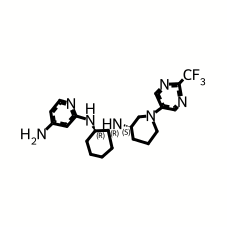 Nc1ccnc(N[C@@H]2CCCC[C@H]2N[C@H]2CCCN(c3cnc(C(F)(F)F)nc3)C2)c1